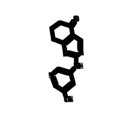 N#Cc1cncc(Nc2ncc3c(n2)CCCC3=O)c1